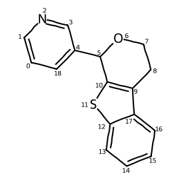 c1cncc(C2OCCc3c2sc2ccccc32)c1